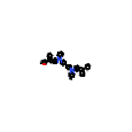 Cc1ccc(N(c2ccc(C=C(c3ccccc3)c3ccccc3)cc2)c2ccc(-c3ccc(N(c4ccccc4)c4ccc(C=C(c5ccccc5)c5ccccc5)cc4)cc3)cc2)cc1